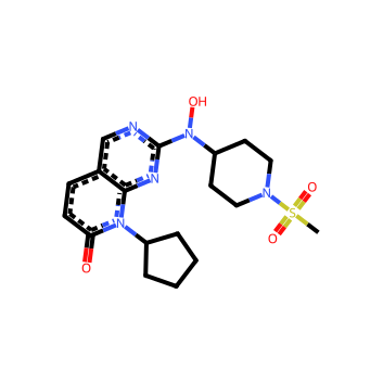 CS(=O)(=O)N1CCC(N(O)c2ncc3ccc(=O)n(C4CCCC4)c3n2)CC1